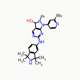 CC(C)N1C(O)c2cnc(Nc3ccc4c(c3)C(C)(C)NC4(C)C)nc2N1c1ccnc(C(C)(C)C)c1